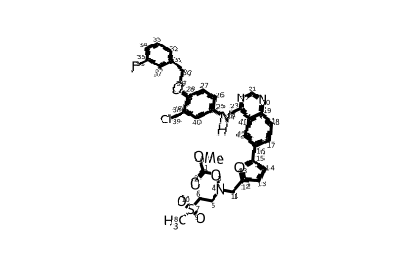 COC(=O)ON(CCS(C)(=O)=O)Cc1ccc(-c2ccc3ncnc(Nc4ccc(OCc5cccc(F)c5)c(Cl)c4)c3c2)o1